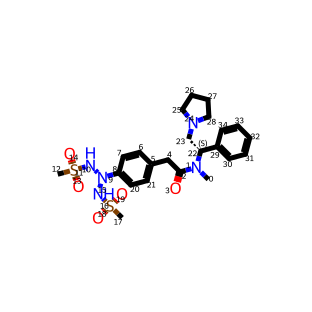 CN(C(=O)Cc1ccc(N(NS(C)(=O)=O)NS(C)(=O)=O)cc1)[C@H](CN1CCCC1)c1ccccc1